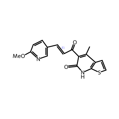 COc1ccc(/C=C/C(=O)c2c(C)c3ccsc3[nH]c2=O)cn1